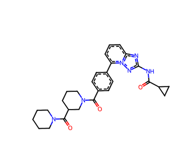 O=C(Nc1nc2cccc(-c3ccc(C(=O)N4CCCC(C(=O)N5CCCCC5)C4)cc3)n2n1)C1CC1